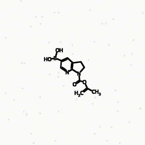 C=C(C)OC(=O)N1CCc2cc(B(O)O)cnc21